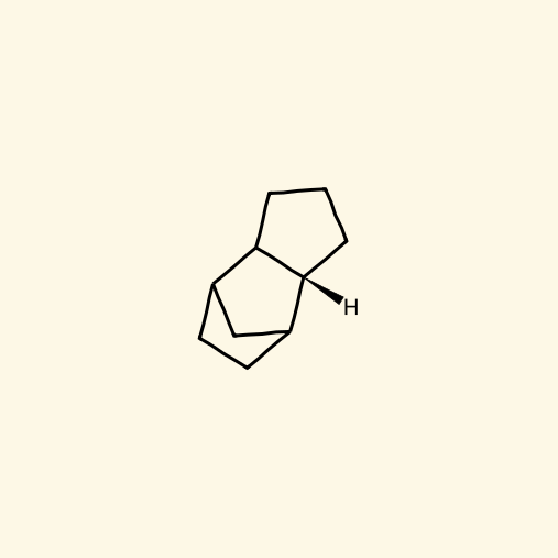 C1CC2C3CCC(C3)[C@H]2C1